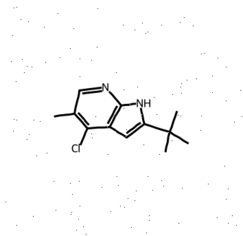 Cc1cnc2[nH]c(C(C)(C)C)cc2c1Cl